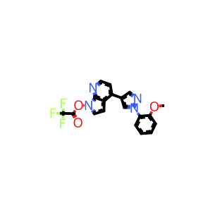 COc1ccccc1-n1cc(-c2ccnc3c2ccn3OC(=O)C(F)(F)F)cn1